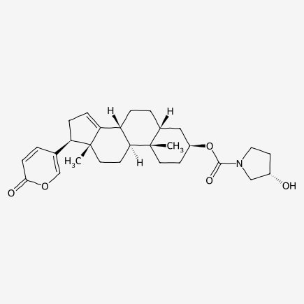 C[C@]12CC[C@H](OC(=O)N3CC[C@H](O)C3)C[C@H]1CC[C@H]1C3=CC[C@H](c4ccc(=O)oc4)[C@@]3(C)CC[C@@H]12